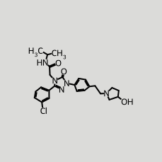 CC(C)NC(=O)Cn1c(-c2cccc(Cl)c2)nn(-c2ccc(CCN3CCC(O)C3)cc2)c1=O